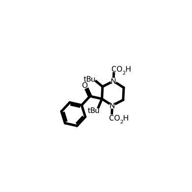 CC(C)(C)C1N(C(=O)O)CCN(C(=O)O)C1(C(=O)c1ccccc1)C(C)(C)C